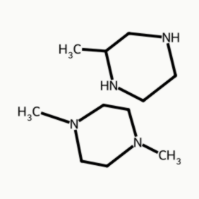 CC1CNCCN1.CN1CCN(C)CC1